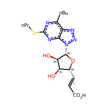 CCCCc1nc(SCCC)nc2c1nnn2[C@@H]1O[C@H](/C=C/C(=O)O)[C@@H](O)[C@H]1O